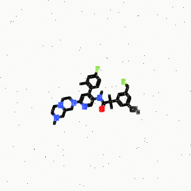 Cc1cc(F)ccc1-c1cc(N2CCN3CCN(C)CC3C2)ncc1N(C)C(=O)C(C)(C)c1cc(CF)cc(C(F)(F)F)c1